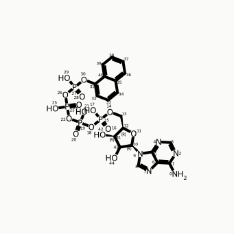 Nc1ncnc2c1ncn2[C@@H]1O[C@H](COP(=O)(O)OP(=O)(O)OP(=O)(O)OP(=O)(O)Oc2cccc3ccccc23)[C@H](O)C1O